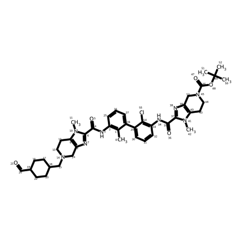 Cc1c(NC(=O)c2nc3c(n2C)CCN(CC2CCC(C=O)CC2)C3)cccc1-c1cccc(NC(=O)c2nc3c(n2C)CCN(C(=O)OC(C)(C)C)C3)c1Cl